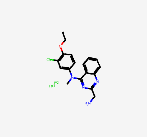 CCOc1ccc(N(C)c2nc(CN)nc3ccccc23)cc1Cl.Cl.Cl